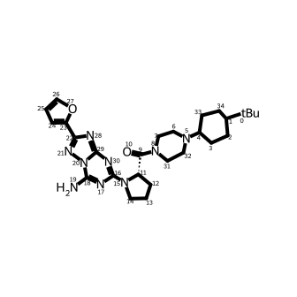 CC(C)(C)C1CCC(N2CCN(C(=O)[C@@H]3CCCN3c3nc(N)n4nc(-c5ccco5)nc4n3)CC2)CC1